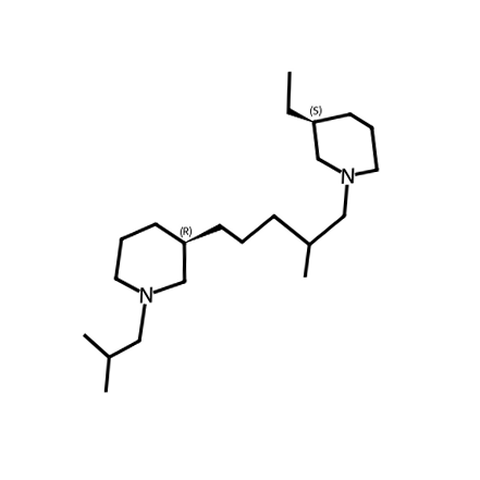 CC[C@H]1CCCN(CC(C)CCC[C@@H]2CCCN(CC(C)C)C2)C1